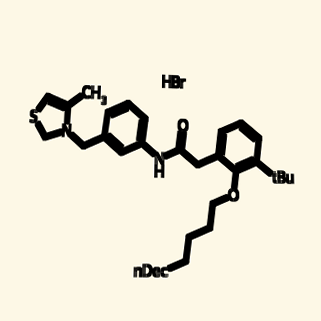 Br.CCCCCCCCCCCCCCOc1c(CC(=O)Nc2cccc(CN3CSC=C3C)c2)cccc1C(C)(C)C